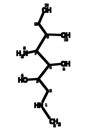 CNCC(O)C(O)C(N)C(O)CO